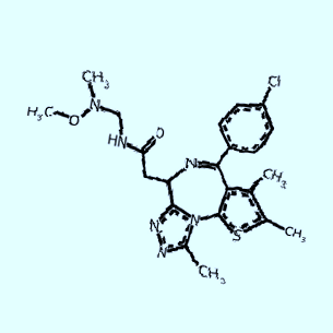 CON(C)CNC(=O)CC1N=C(c2ccc(Cl)cc2)c2c(sc(C)c2C)-n2c(C)nnc21